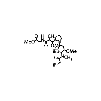 CCC(C)C(C(CC(=O)N1CCCC1C(OC)C(C)C(=O)NCC(=O)OC)OC)N(C)C(=O)CC(C)C